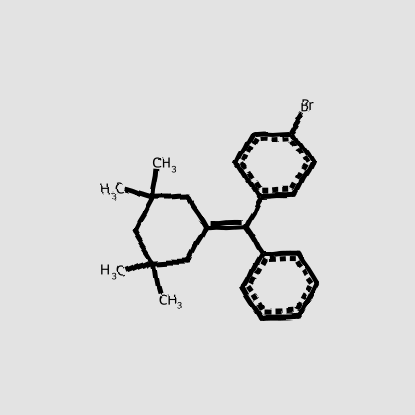 CC1(C)CC(=C(c2ccccc2)c2ccc(Br)cc2)CC(C)(C)C1